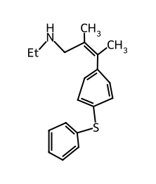 CCNCC(C)=C(C)c1ccc(Sc2ccccc2)cc1